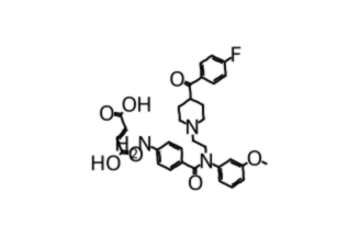 COc1cccc(N(CCN2CCC(C(=O)c3ccc(F)cc3)CC2)C(=O)c2ccc(N)cc2)c1.O=C(O)/C=C/C(=O)O